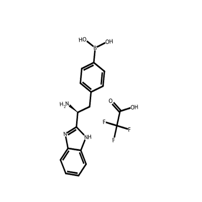 N[C@@H](Cc1ccc(B(O)O)cc1)c1nc2ccccc2[nH]1.O=C(O)C(F)(F)F